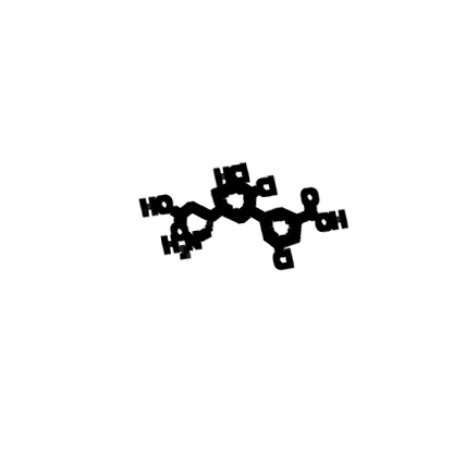 Cl.NC[C@H](CC(=O)O)c1ccc(Cl)c(-c2cc(Cl)cc(C(=O)O)c2)c1